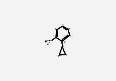 FC(F)(F)c1cc[c]cc1C1CC1